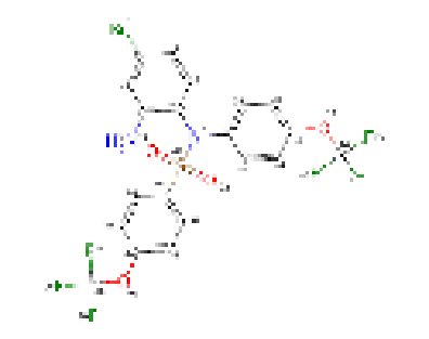 Nc1cc(Br)ccc1N(c1ccc(OC(F)(F)F)cc1)S(=O)(=O)c1ccc(OC(F)(F)F)cc1